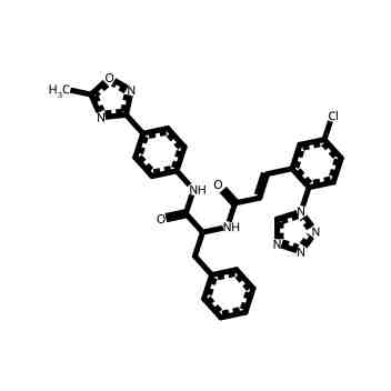 Cc1nc(-c2ccc(NC(=O)C(Cc3ccccc3)NC(=O)C=Cc3cc(Cl)ccc3-n3cnnn3)cc2)no1